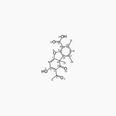 CC(=O)C1=C(O)C=C2Oc3c(C(=O)O)c(C)cc(C)c3C2(C)C1=O